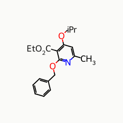 CCOC(=O)c1c(OC(C)C)cc(C)nc1OCc1ccccc1